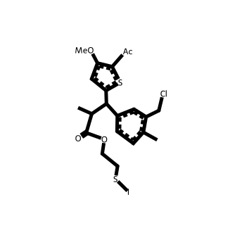 COc1cc(C(c2ccc(C)c(CCl)c2)C(C)C(=O)OCCSI)sc1C(C)=O